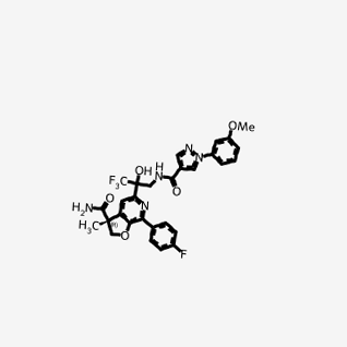 COc1cccc(-n2cc(C(=O)NCC(O)(c3cc4c(c(-c5ccc(F)cc5)n3)OC[C@]4(C)C(N)=O)C(F)(F)F)cn2)c1